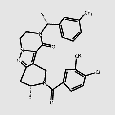 C[C@@H]1Cc2nn3c(c2CN1C(=O)c1ccc(Cl)c(C#N)c1)C(=O)N([C@H](C)c1cccc(C(F)(F)F)c1)CC3